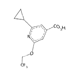 O=C(O)c1cc(OCC(F)(F)F)nc(C2CC2)c1